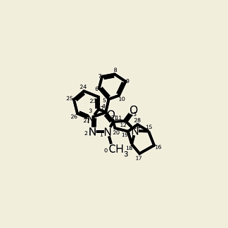 Cn1ncc(-c2ccccc2)c1C(=O)N1C2CCC1C(COc1ccccn1)C2